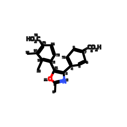 Cc1nc(-c2ccc(C(=O)O)cc2)c(-c2ccc(C(=O)O)c(C)c2C)o1